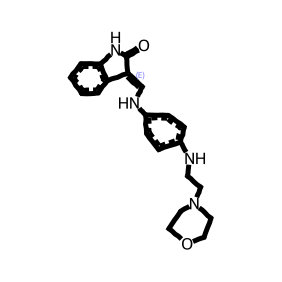 O=C1Nc2ccccc2/C1=C\Nc1ccc(NCCN2CCOCC2)cc1